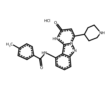 Cc1ccc(C(=O)Nc2cccc3nn4c(C5CCNCC5)cc(=O)[nH]c4c23)cc1.Cl